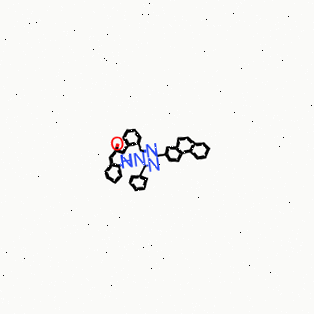 c1ccc(C2N=C(c3ccc4c(ccc5ccccc54)c3)N=C(c3cccc4oc5cc6ccccc6nc5c34)N2)cc1